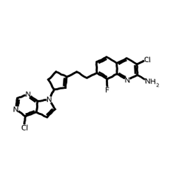 Nc1nc2c(F)c(CCC3=CC(n4ccc5c(Cl)ncnc54)CC3)ccc2cc1Cl